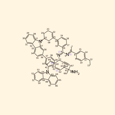 C#CC(/N=C(\N=C(/C)c1ccc(CC)cc1)c1cccc(C2=CCCC(n3c4ccccc4c4ccc(-c5cccc(-n6c7ccccc7c7ccccc76)c5)cc43)C2)c1)C(/C=C\C(=C)C(C)(C)N)=C/C